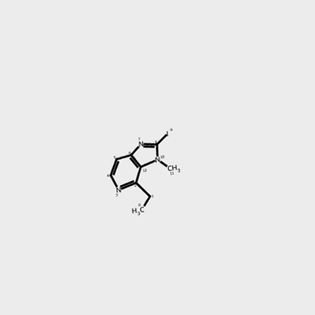 CCc1nccc2nc(I)n(C)c12